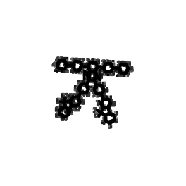 CC1(C)c2ccccc2-c2ccc(-c3ccc(-c4nc5c(-c6ccc(-c7ccccc7)cc6)ccc(-c6ccc(-c7ccccc7)cc6)c5nc4-c4ccc(-c5ccc6c(c5)C(C)(C)c5ccccc5-6)cc4)cc3)cc21